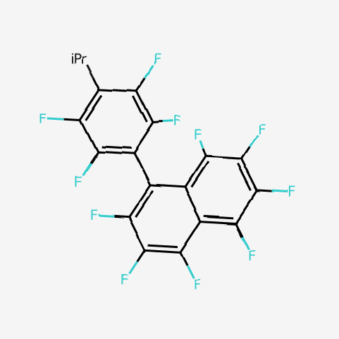 CC(C)c1c(F)c(F)c(-c2c(F)c(F)c(F)c3c(F)c(F)c(F)c(F)c23)c(F)c1F